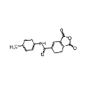 Cc1ccc(NC(=O)c2ccc3c(c2)C(=O)OC3=O)cc1